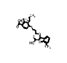 CCCc1c(SCCCOc2c(C(=O)O)oc3c(C)cccc23)ccc(C(C)=O)c1N